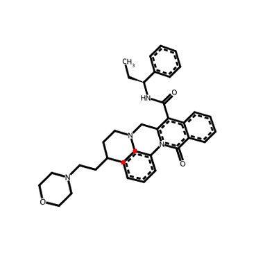 CC[C@H](NC(=O)c1c(CN2CCC(CCN3CCOCC3)CC2)n(-c2ccccc2)c(=O)c2ccccc12)c1ccccc1